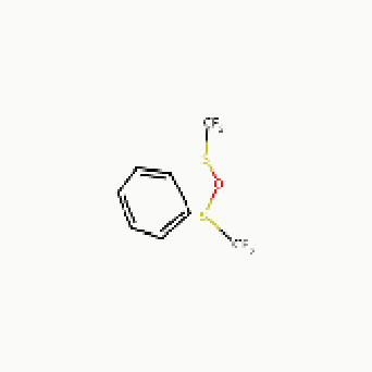 FC(F)(F)SOSC(F)(F)F.c1ccccc1